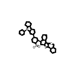 O=[N+]([O-])c1ccc(-c2ccc3c4ccccc4n(-c4ccccc4)c3c2)cc1-c1cc2sc3c4ccccc4ccc3c2c2ccccc12